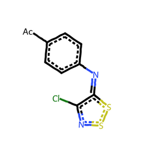 CC(=O)c1ccc(N=c2ssnc2Cl)cc1